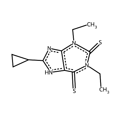 CCn1c(=S)c2[nH]c(C3CC3)nc2n(CC)c1=S